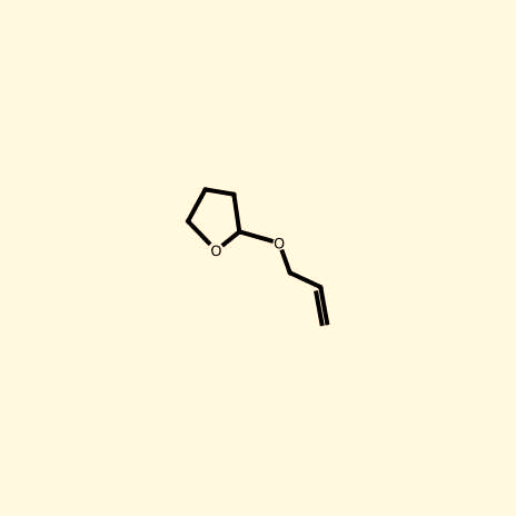 C=CCOC1CCCO1